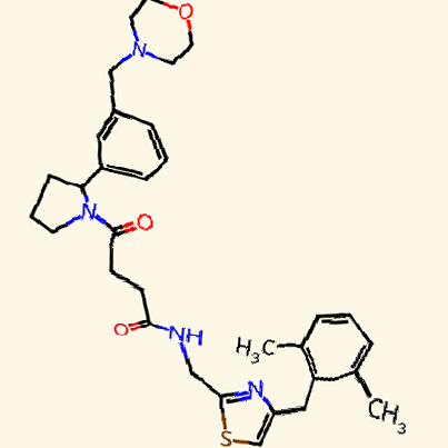 Cc1cccc(C)c1Cc1csc(CNC(=O)CCC(=O)N2CCCC2c2cccc(CN3CCOCC3)c2)n1